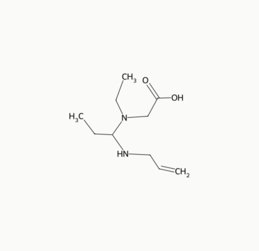 C=CCNC(CC)N(CC)CC(=O)O